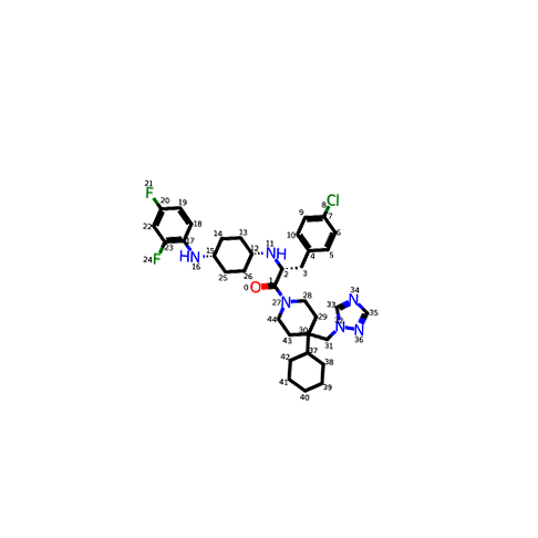 O=C([C@@H](Cc1ccc(Cl)cc1)N[C@H]1CC[C@@H](Nc2ccc(F)cc2F)CC1)N1CCC(Cn2cncn2)(C2CCCCC2)CC1